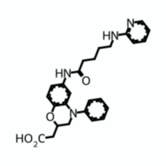 O=C(O)CC1CN(c2ccccc2)c2cc(NC(=O)CCCCNc3ccccn3)ccc2O1